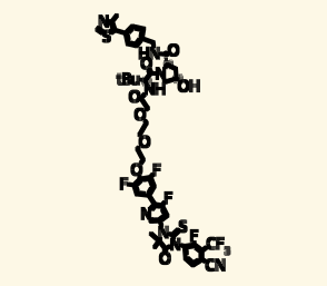 Cc1ncsc1-c1ccc(CNC(=O)[C@@H]2C[C@@H](O)CN2C(=O)[C@@H](NC(=O)COCCOCCOc2c(F)cc(-c3ncc(N4C(=S)N(c5ccc(C#N)c(C(F)(F)F)c5F)C(=O)C4(C)C)cc3F)cc2F)C(C)(C)C)cc1